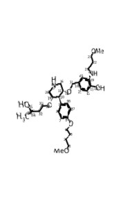 COCCCCOc1ccc([C@@H]2[C@@H](OCc3ccc(O)c(NCCCOC)c3)CNC[C@H]2OCCC(C)O)cc1